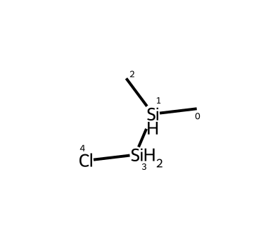 C[SiH](C)[SiH2]Cl